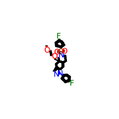 COCCOC[C@]12Cc3cnn(-c4ccc(F)cc4)c3C=C1CCN(S(=O)(=O)c1ccc(F)cc1)C2